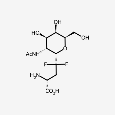 CC(=O)N[C@@H]1[C@@H](O)[C@@H](O)[C@@H](CO)O[C@@H]1C(F)(F)C[C@@H](N)C(=O)O